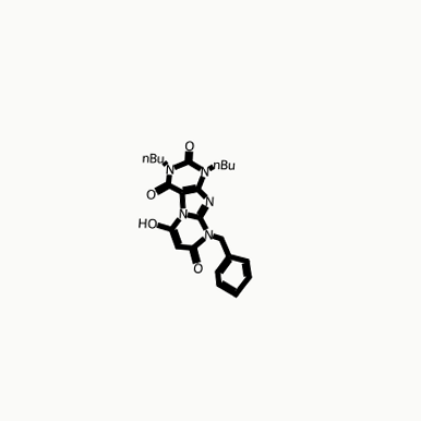 CCCCn1c(=O)c2c(nc3n(Cc4ccccc4)c(=O)cc(O)n23)n(CCCC)c1=O